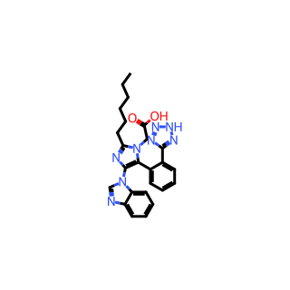 CCCCCCc1nc(-n2cnc3ccccc32)c(-c2ccccc2-c2nn[nH]n2)n1CC(=O)O